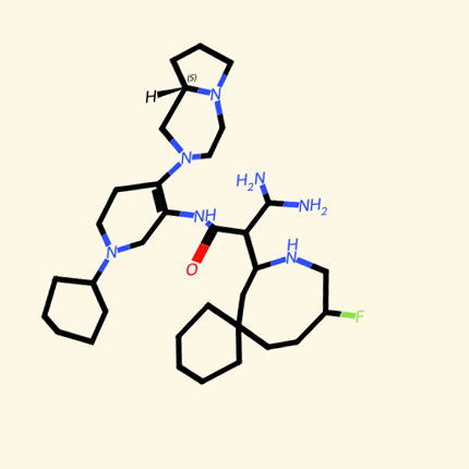 NC(N)C(C(=O)NC1=C(N2CCN3CCC[C@H]3C2)CCN(C2CCCCC2)C1)C1CC2(CCCCC2)CCC(F)CN1